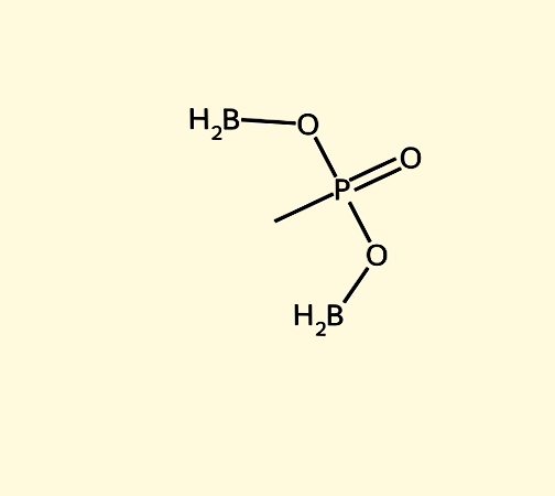 BOP(C)(=O)OB